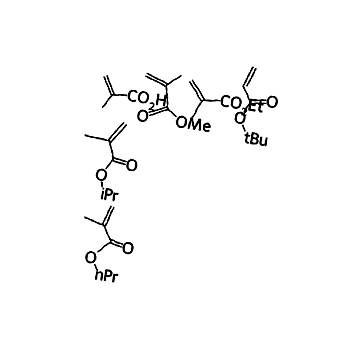 C=C(C)C(=O)O.C=C(C)C(=O)OC.C=C(C)C(=O)OC(C)C.C=C(C)C(=O)OCC.C=C(C)C(=O)OCCC.C=CC(=O)OC(C)(C)C